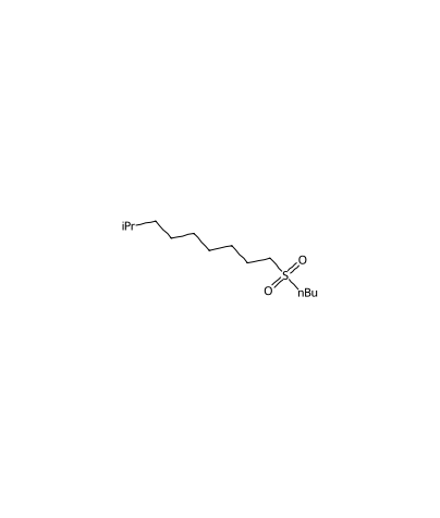 CCCCS(=O)(=O)CCCCCCCC(C)C